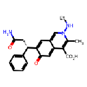 CCNn1cc2cc([C@@H](CC(N)=O)c3ccccc3)c(=O)cc-2c(C(=O)O)c1C